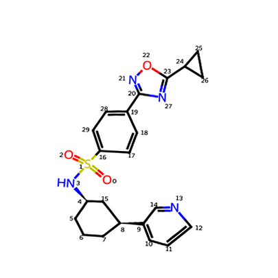 O=S(=O)(N[C@@H]1CCC[C@H](c2cccnc2)C1)c1ccc(-c2noc(C3CC3)n2)cc1